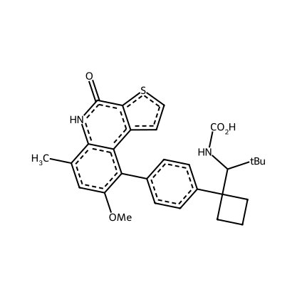 COc1cc(C)c2[nH]c(=O)c3sccc3c2c1-c1ccc(C2(C(NC(=O)O)C(C)(C)C)CCC2)cc1